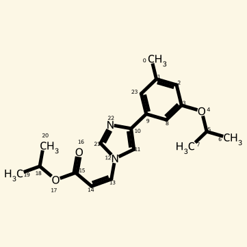 Cc1cc(OC(C)C)cc(-c2cn(/C=C\C(=O)OC(C)C)cn2)c1